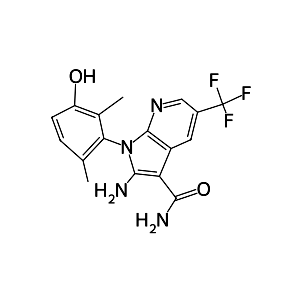 Cc1ccc(O)c(C)c1-n1c(N)c(C(N)=O)c2cc(C(F)(F)F)cnc21